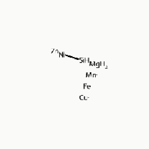 [Cu].[Fe].[MgH2].[Mn].[SiH3][Ni].[Zn]